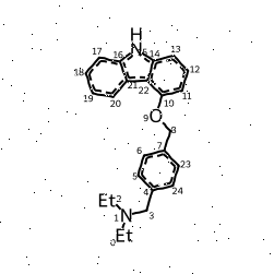 CCN(CC)Cc1ccc(COc2cccc3[nH]c4ccccc4c23)cc1